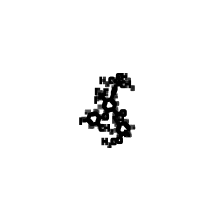 COc1cc(NC(=O)c2cc(C#C[Si](C)(C)C)c(C(F)(F)F)cc2Oc2ccc(F)cc2C)ccn1